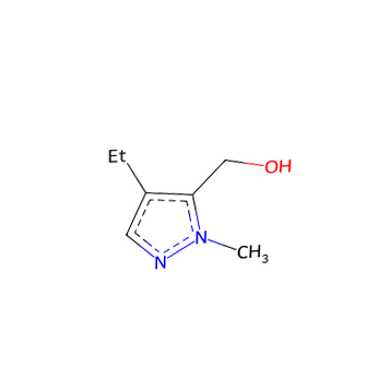 [CH2]Cc1cnn(C)c1CO